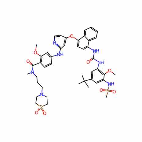 COc1cc(Nc2cc(Oc3ccc(NC(=O)Nc4cc(C(C)(C)C)cc(NS(C)(=O)=O)c4OC)c4ccccc34)ccn2)ccc1C(=O)N(C)CCCN1CCS(=O)(=O)CC1